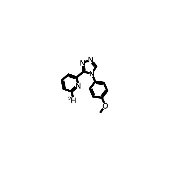 [2H]c1cccc(-c2nncn2-c2ccc(OC)cc2)n1